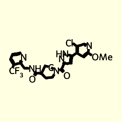 COc1cc(-c2cc(C(=O)N3CCC(C(=O)NCc4ncccc4C(F)(F)F)CC3)n[nH]2)c(Cl)cn1